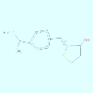 CCOC(=O)C(C)c1ccc(/C=C2\SCCC2O)cc1